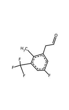 Cc1c(CC=O)cc(F)cc1C(F)(F)F